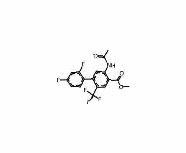 COC(=O)c1cc(C(F)(F)F)c(-c2ccc(F)cc2F)cc1NC(C)=O